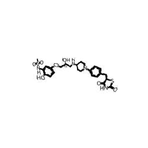 CS(=O)(=O)Nc1cc(OC[C@@H](O)CNC2CCN(c3ccc(CC4SC(=O)NC4=O)cc3)CC2)ccc1O